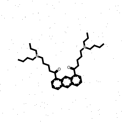 CCCCN(CCC)CCCCC(=O)c1cccc2cc3cccc(C(=O)CCCCN(CCC)CCCC)c3cc12